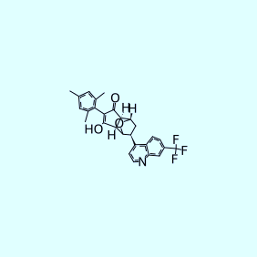 Cc1cc(C)c(C2=C(O)[C@@H]3C4O[C@@H](C[C@H]4c4ccnc5cc(C(F)(F)F)ccc45)[C@@H]3C2=O)c(C)c1